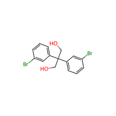 OCC(CO)(c1cccc(Br)c1)c1cccc(Br)c1